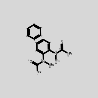 CCCC(=O)N(c1ccccc1N(C(=O)CCC)C(C)(C)C)C(C)(C)C.c1ccccc1